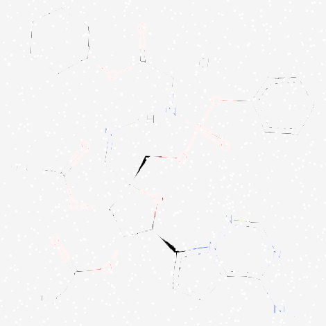 C/N=C\[C@]1(CO[P@@](=O)(N[C@@H](C)C(=O)OC2CCCCC2)Oc2ccccc2)O[C@@H](c2ccc3c(N)ncnn23)[C@H](OC(C)=O)[C@@H]1OC(C)=O